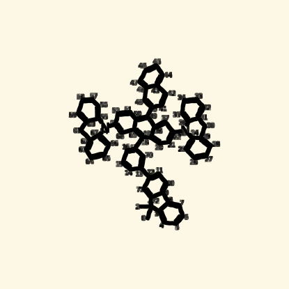 CC1(C)c2ccccc2-c2ccc(-c3cccc(-c4c5ccc(N6c7ccccc7Cc7ccccc76)cc5c(-c5ccc6ccccc6c5)c5ccc(N6c7ccccc7Cc7ccccc76)cc45)c3)cc21